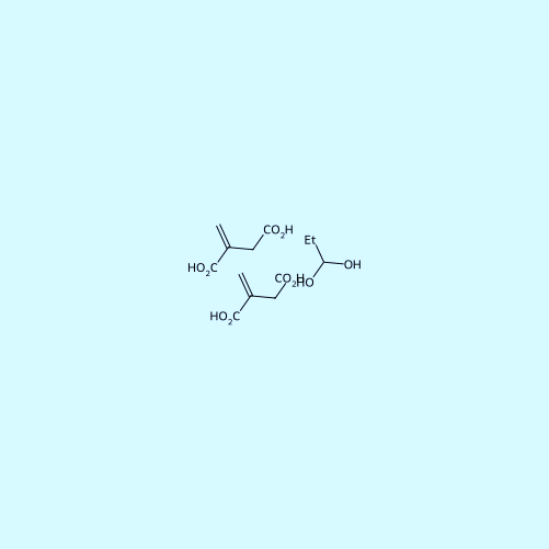 C=C(CC(=O)O)C(=O)O.C=C(CC(=O)O)C(=O)O.CCC(O)O